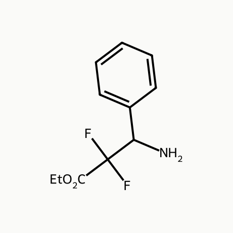 CCOC(=O)C(F)(F)C(N)c1ccccc1